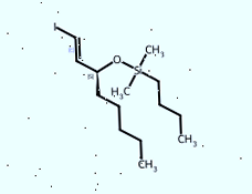 CCCCC[C@@H](/C=C/I)O[Si](C)(C)CCCC